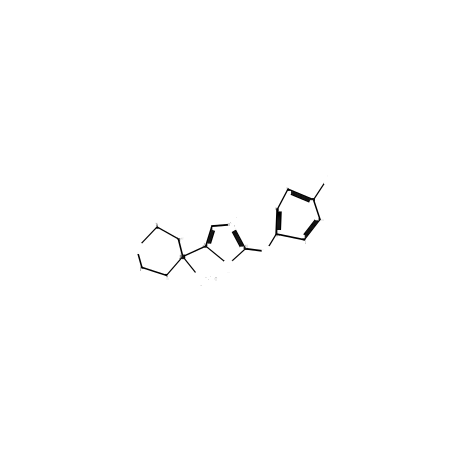 COC1(c2cnc(Sc3ccc(C(C)=O)cc3)s2)CCOCC1